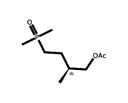 CC(=O)OC[C@@H](C)CCP(C)(C)=O